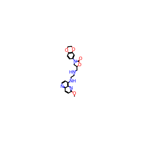 COc1ccc2nccc(NCCNCC3CN(c4ccc5c(c4)OCCO5)C(=O)O3)c2n1